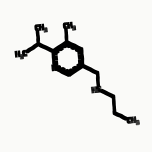 CCCNCc1cnc(C(C)C)c(C)c1